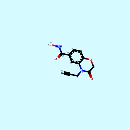 C#CCN1C(=O)COc2ccc(C(=O)NO)cc21